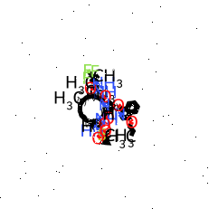 CCCOc1cnc(O[C@@H]2C[C@H]3C(=O)N[C@]4(C(=O)NS(=O)(=O)C5(C)CC5)C[C@H]4C=CCC[C@H](C)C[C@@H](C)[C@H](NC(=O)NC(C)(C)C(F)(F)F)C(=O)N3C2)c2ccccc12